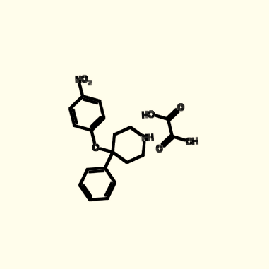 O=C(O)C(=O)O.O=[N+]([O-])c1ccc(OC2(c3ccccc3)CCNCC2)cc1